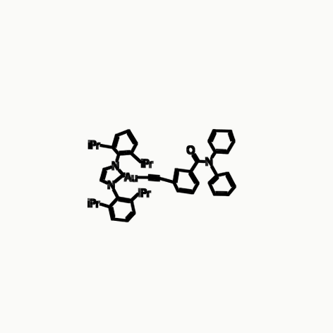 CC(C)c1cccc(C(C)C)c1-n1ccn(-c2c(C(C)C)cccc2C(C)C)[c]1=[Au][C]#Cc1cccc(C(=O)N(c2ccccc2)c2ccccc2)c1